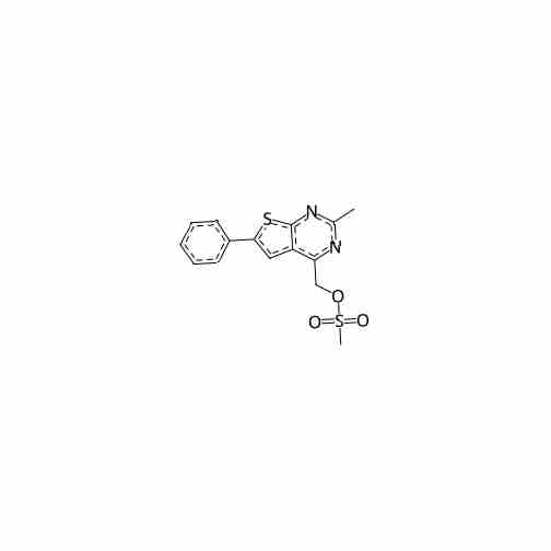 Cc1nc(COS(C)(=O)=O)c2cc(-c3ccccc3)sc2n1